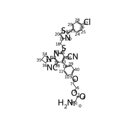 C[C@H](N)C(=O)OCCOc1ccc(-c2c(C#N)c(SCc3csc(-c4ccc(Cl)cc4)n3)nc(N3CCC3)c2C#N)cc1